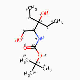 CCC(O)(CC)C(CO)NC(=O)OC(C)(C)C